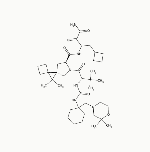 CC1(C)CN(CC2(NC(=O)N[C@H](C(=O)N3C[C@]4(C[C@H]3C(=O)NC(CC3CCC3)C(=O)C(N)=O)C(C)(C)C43CCC3)C(C)(C)C)CCCCC2)CCO1